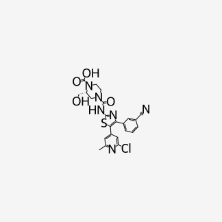 Cc1cc(-c2sc(NC(=O)N3CCN(C(=O)O)[C@@H](CO)C3)nc2-c2cccc(C#N)c2)cc(Cl)n1